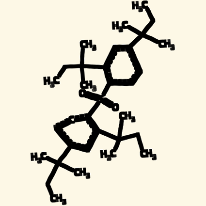 CCC(C)(C)c1ccc(S(=O)(=O)c2ccc(C(C)(C)CC)cc2C(C)(C)CC)c(C(C)(C)CC)c1